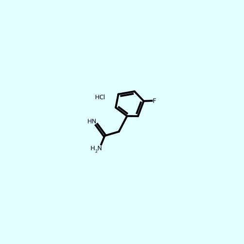 Cl.N=C(N)Cc1cccc(F)c1